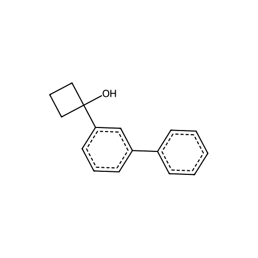 OC1(c2cccc(-c3ccccc3)c2)CCC1